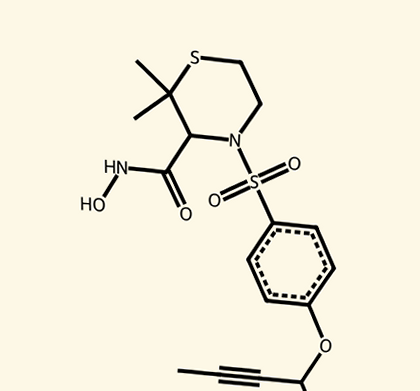 CC#CC(C)Oc1ccc(S(=O)(=O)N2CCSC(C)(C)C2C(=O)NO)cc1